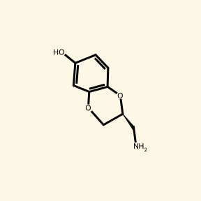 NC[C@H]1COc2cc(O)ccc2O1